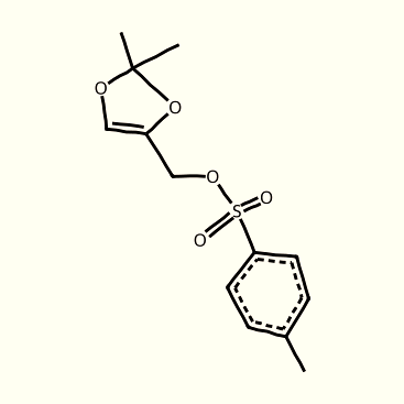 Cc1ccc(S(=O)(=O)OCC2=COC(C)(C)O2)cc1